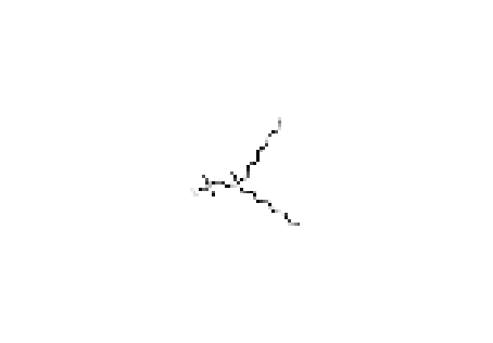 CCCCCCCC[Si](C)(CCCCCCCC)CC[Si](C)(C)Cl